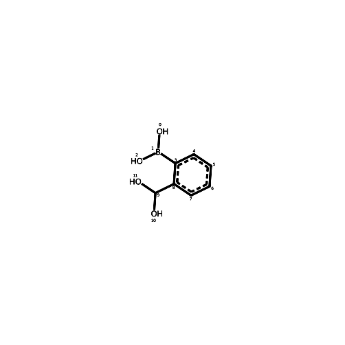 OB(O)c1ccccc1C(O)O